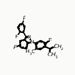 C=C(C)c1cc(C)c(-n2nc(-c3cc(F)ccc3F)c3cc(F)ccc32)cc1F